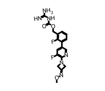 CON=C1CN(c2ncc(-c3cccc(COC(=O)NC(=N)N)c3F)cc2F)C1